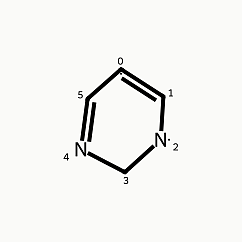 [C]1=C[N]CN=C1